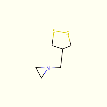 C1SSCC1CN1CC1